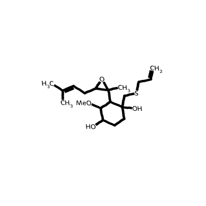 C=CCSCC1(O)CCC(O)C(OC)C1C1(C)OC1CC=C(C)C